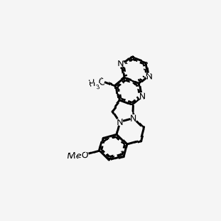 COc1ccc2c(c1)N1Cc3c(nc4nccnc4c3C)N1CC2